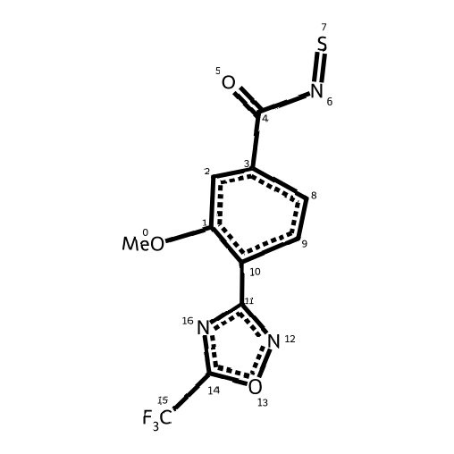 COc1cc(C(=O)N=S)ccc1-c1noc(C(F)(F)F)n1